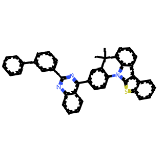 CC1(C)c2cc(-c3nc(-c4cccc(-c5ccccc5)c4)nc4ccccc34)ccc2-n2c3sc4ccccc4c3c3cccc1c32